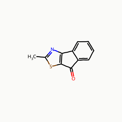 Cc1nc2c(s1)C(=O)c1ccccc1-2